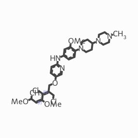 COC(=C/C(C)OC)/C(Cl)=C(\CCl)COc1ccc(Nc2ccc(N3CCC(N4CCN(C)CC4)CC3)c(OC)c2)nc1